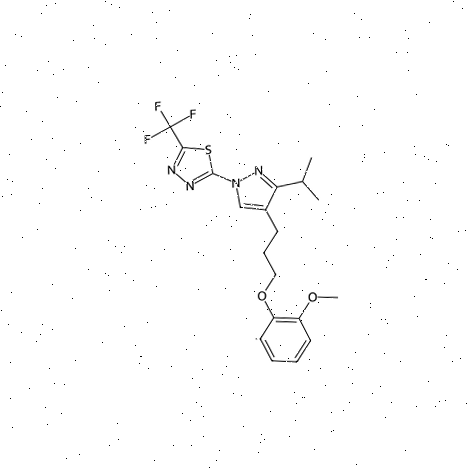 COc1ccc[c]c1OCCCc1cn(-c2nnc(C(F)(F)F)s2)nc1C(C)C